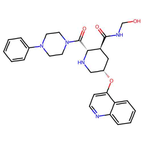 O=C(NCO)[C@H]1C[C@H](Oc2ccnc3ccccc23)CN[C@@H]1C(=O)N1CCN(c2ccccc2)CC1